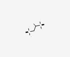 CC(CP(=O)(O)O)P(=O)(O)O